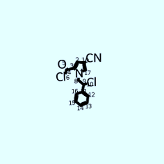 N#Cc1cc(C(=O)Cl)n(CC(Cl)c2ccccc2)c1